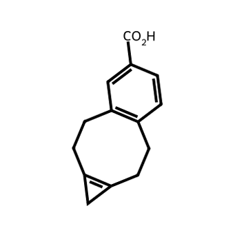 O=C(O)c1ccc2c(c1)CCC1=C(CC2)C1